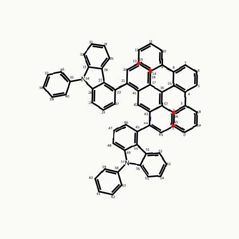 c1ccc(-c2cccc(-c3ccccc3)c2-c2c3cccc(-c4cccc5c4c4ccccc4n5-c4ccccc4)c3cc3c(-c4cccc5c4c4ccccc4n5-c4ccccc4)cccc23)cc1